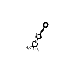 CC1(C)CCN(c2ccc(C#Cc3ccccc3)nn2)CC1